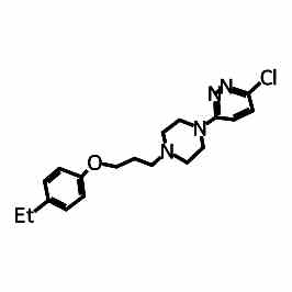 CCc1ccc(OCCCN2CCN(c3ccc(Cl)nn3)CC2)cc1